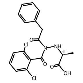 C[C@H](NN(C(=O)Cc1ccccc1)C(=O)c1c(Cl)cccc1Cl)C(=O)O